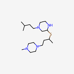 CC(C)CCN1CCNC(SC(C)CCN2CCN(C)CC2)C1